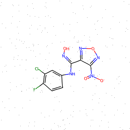 O=[N+]([O-])c1nonc1/C(=N\O)Nc1ccc(F)c(Cl)c1